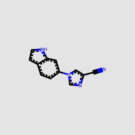 N#Cc1cn(-c2ccc3cc[nH]c3c2)cn1